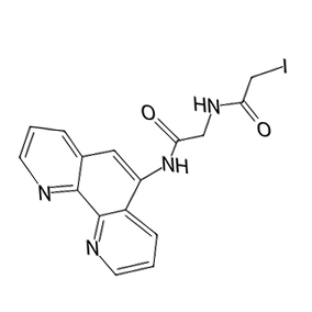 O=C(CI)NCC(=O)Nc1cc2cccnc2c2ncccc12